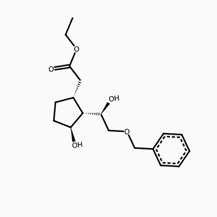 CCOC(=O)C[C@H]1CC[C@H](O)[C@H]1[C@@H](O)COCc1ccccc1